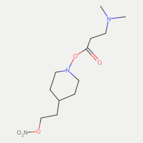 CN(C)CCC(=O)ON1CCC(CCO[N+](=O)[O-])CC1